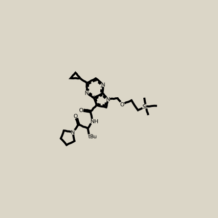 CC(C)(C)C(NC(=O)c1cn(COCC[Si](C)(C)C)c2ncc(C3CC3)nc12)C(=O)N1CCCC1